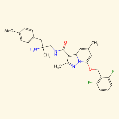 COc1ccc(CC(C)(N)CNC(=O)c2c(C)nn3c(OCc4c(F)cccc4F)cc(C)cc23)cc1